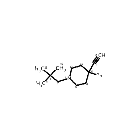 C#CC1(F)CCN(CC(C)(C)C)CC1